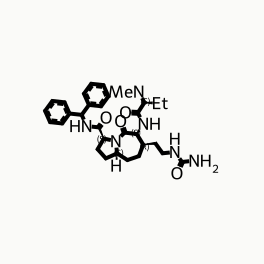 CC[C@H](NC)C(=O)N[C@@H]1C(=O)N2[C@@H](CC[C@@H]1CCNC(N)=O)CC[C@H]2C(=O)NC(c1ccccc1)c1ccccc1